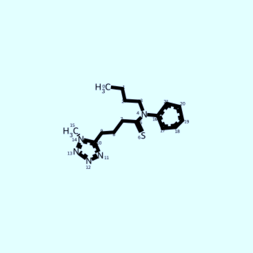 CCCCN(C(=S)CCCc1nnnn1C)c1ccccc1